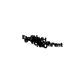 CCCCCOC(=O)Nc1ncnn2c([C@]3(C)O[C@H](COC(=O)CC)[C@@H](O)[C@H]3O)ccc12